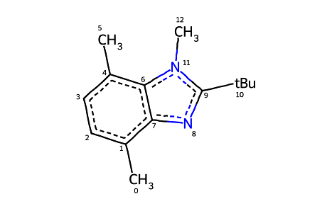 Cc1ccc(C)c2c1nc(C(C)(C)C)n2C